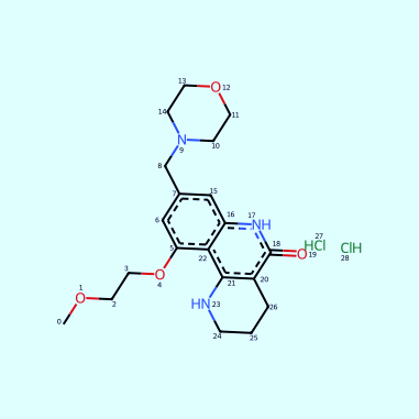 COCCOc1cc(CN2CCOCC2)cc2[nH]c(=O)c3c(c12)NCCC3.Cl.Cl